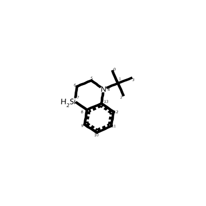 CC(C)(C)N1CC[SiH2]c2ccccc21